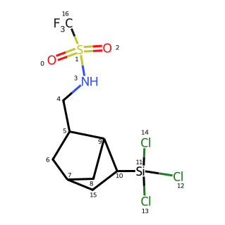 O=S(=O)(NCC1CC2CC1C([Si](Cl)(Cl)Cl)C2)C(F)(F)F